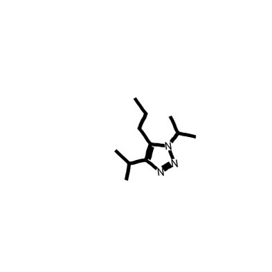 CCCc1c(C(C)C)nnn1C(C)C